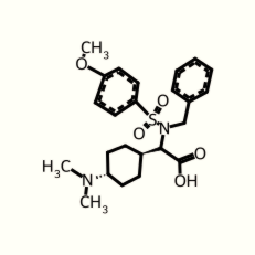 COc1ccc(S(=O)(=O)N(Cc2ccccc2)C(C(=O)O)[C@H]2CC[C@H](N(C)C)CC2)cc1